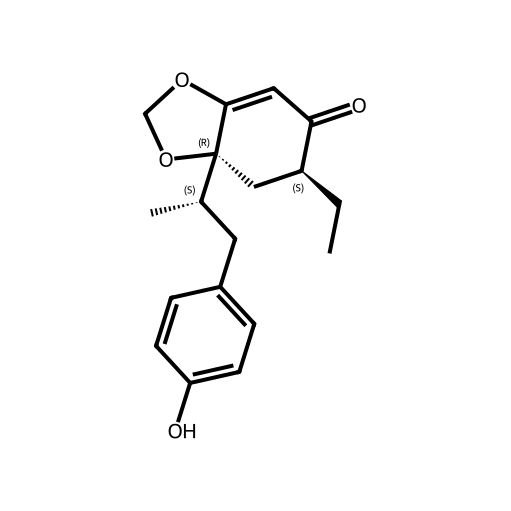 CC[C@H]1C[C@]2([C@@H](C)Cc3ccc(O)cc3)OCOC2=CC1=O